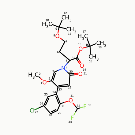 COc1cn(C(CCOC(C)(C)C)C(=O)OC(C)(C)C)c(=O)cc1-c1cc(Cl)ccc1OC(F)F